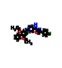 CCOC1=CC(F)(CN2CCC(Nc3nc(-c4ccc(F)cc4)co3)CC2)CC(OCC)=C1c1ccccc1